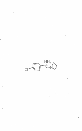 N[C@H](CN1CCC1)c1ccc(Cl)cc1